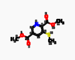 COC(=O)c1cnc(C(=O)OC)c(SC)c1